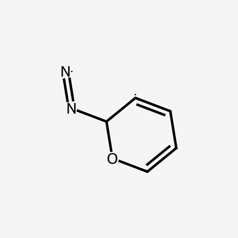 [N]=NC1[C]=CC=CO1